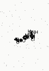 CNC(=O)c1nnc(Cl)cc1Nc1nc2ccc(OC3CN(C(=O)OC(C)(C)C)C3)cn2n1